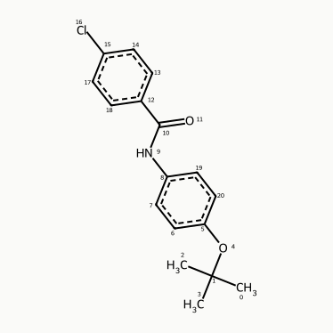 CC(C)(C)Oc1ccc(NC(=O)c2ccc(Cl)cc2)cc1